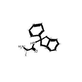 C[C@H](N)C(=O)NC1(c2ccccc2)Cc2ccccc2C1